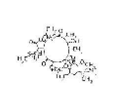 CC[C@H]1OC(=O)[C@H](C)[C@@H](O)[C@H](C)[C@@H](O[C@@H]2O[C@H](C)C[C@H](N(C)C)[C@H]2OC)[C@](C)(OC)C[C@@H](C)C(=O)[C@H](C)[C@H]2C(SSC)C(=O)O[C@@]21C